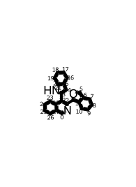 [c]1nc(-c2occ3ccccc23)c(-c2cc3ccccc3[nH]2)c2ccccc12